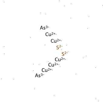 [As-3].[As-3].[Cu+2].[Cu+2].[Cu+2].[Cu+2].[Cu+2].[S-2].[S-2]